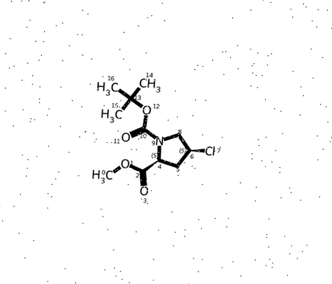 COC(=O)[C@@H]1C[C@H](Cl)CN1C(=O)OC(C)(C)C